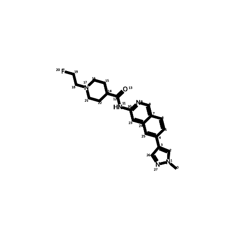 Cn1cc(-c2ccc3cnc(NC(=O)C4CCN(CCF)CC4)cc3c2)cn1